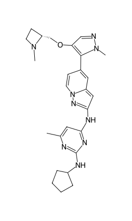 Cc1cc(Nc2cc3cc(-c4c(OC[C@H]5CCN5C)cnn4C)ccn3n2)nc(NC2CCCC2)n1